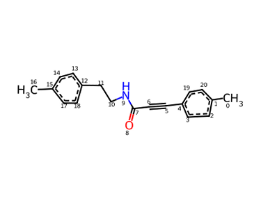 Cc1ccc(C#CC(=O)NCCc2ccc(C)cc2)cc1